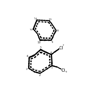 Clc1[c]cccc1Cl.[c]1ccccc1